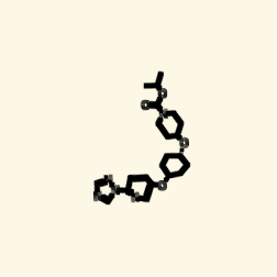 CC(C)OC(=O)N1CCC(O[C@H]2CC[C@H](Oc3ccc(-n4cncn4)nc3)CC2)CC1